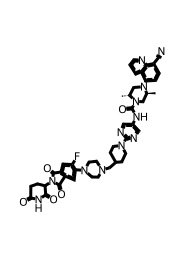 C[C@@H]1CN(c2ccc(C#N)c3ncccc23)[C@@H](C)CN1C(=O)Nc1cnc(N2CCC(CN3CCN(c4cc5c(cc4F)C(=O)N(C4CCC(=O)NC4=O)C5=O)CC3)CC2)nc1